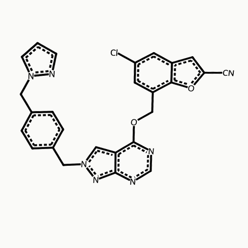 N#Cc1cc2cc(Cl)cc(COc3ncnc4nn(Cc5ccc(Cn6cccn6)cc5)cc34)c2o1